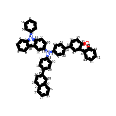 c1ccc(-n2c3ccccc3c3cc(N(c4ccc(-c5ccc6ccccc6c5)cc4)c4ccc(-c5ccc6oc7ccccc7c6c5)cc4)ccc32)cc1